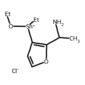 CC[O][Sn+]([CH2]C)[c]1ccoc1C(C)N.[Cl-]